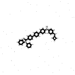 c1ccc(-n2c(-c3ccc(-c4ccc(-c5ccc(Nc6ccc(CC7CCC7)cc6)cc5)cc4)cc3)nc3ccccc32)cc1